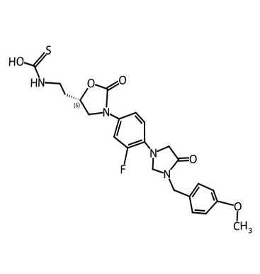 COc1ccc(CN2CN(c3ccc(N4C[C@H](CCNC(O)=S)OC4=O)cc3F)CC2=O)cc1